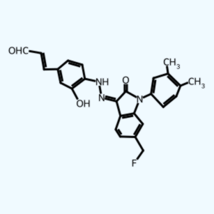 Cc1ccc(N2C(=O)/C(=N\Nc3ccc(/C=C/C=O)cc3O)c3ccc(CF)cc32)cc1C